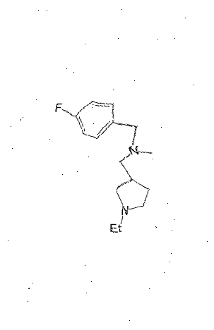 CCN1CCC(CN(C)Cc2ccc(F)cc2)C1